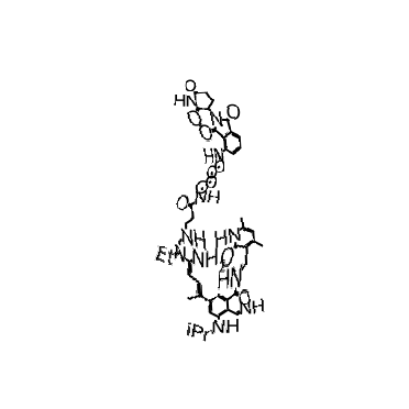 CCN(CNCCC(=O)NOOOONc1cccc2c1C(=O)N(C1CCC(=O)NC1=O)C2=O)/C(N)=C/C=C(\C)c1cc(NC(C)C)c(C=N)c(C(=O)NCc2c(C)cc(C)[nH]c2=O)c1